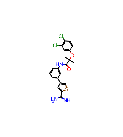 CC(C)(Oc1ccc(Cl)c(Cl)c1)C(=O)Nc1cccc(-c2csc(C(=N)N)c2)c1